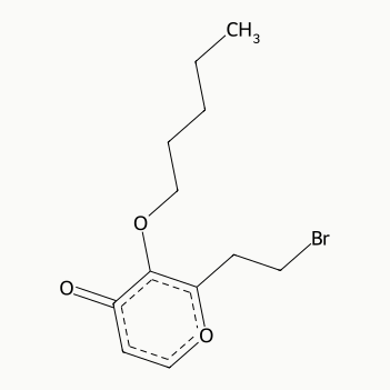 CCCCCOc1c(CCBr)occc1=O